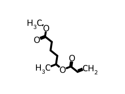 C=CC(=O)OC(C)CCCC(=O)OC